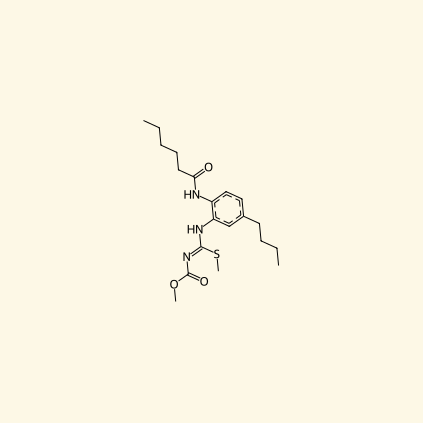 CCCCCC(=O)Nc1ccc(CCCC)cc1NC(=NC(=O)OC)SC